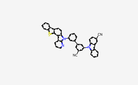 N#Cc1cc(-c2cccc(-n3c4ccc5c6ccccc6sc5c4c4cccnc43)c2)cc(-n2c3ccccc3c3cc(C#N)ccc32)c1